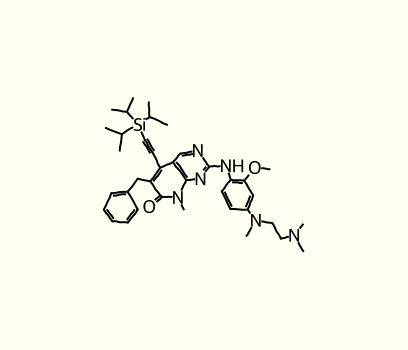 COc1cc(N(C)CCN(C)C)ccc1Nc1ncc2c(C#C[Si](C(C)C)(C(C)C)C(C)C)c(Cc3ccccc3)c(=O)n(C)c2n1